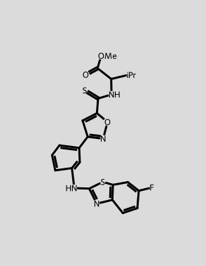 COC(=O)C(NC(=S)c1cc(-c2cccc(Nc3nc4ccc(F)cc4s3)c2)no1)C(C)C